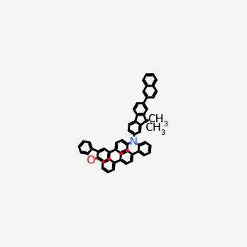 CC1(C)c2cc(-c3ccc4ccccc4c3)ccc2-c2ccc(N(c3ccc(-c4ccc5oc6ccccc6c5c4)cc3)c3ccccc3-c3ccc(-c4ccccc4)cc3)cc21